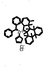 CC1=CC=CC2[CH]([Zr+2]([C]3=CC=CC3)=[C](c3ccccc3)c3ccccc3)C3(C)C4(C)C=CC=CC4(C)C4(C)C=CC=CC4(C)C3(C)C12C.[Cl-].[Cl-]